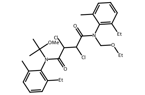 CCOCN(C(=O)C(Cl)C(Cl)C(=O)N(c1c(C)cccc1CC)C(C)(C)OC)c1c(C)cccc1CC